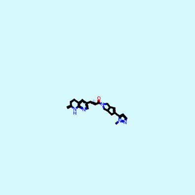 C=C1CCc2cc(/C=C/C(=O)N3CC4C=C(c5ccnn5C)CC4C3)cnc2N1